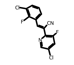 N#C/C(=C\c1cccc(Cl)c1F)c1ncc(Cl)cc1F